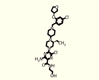 CC[C@H]1CN(c2nc(N)c(C(=O)NCCO)nc2Cl)CCN1C1CCN(Cc2ccc(Cl)cc2O[C@H]2CCOC2)CC1